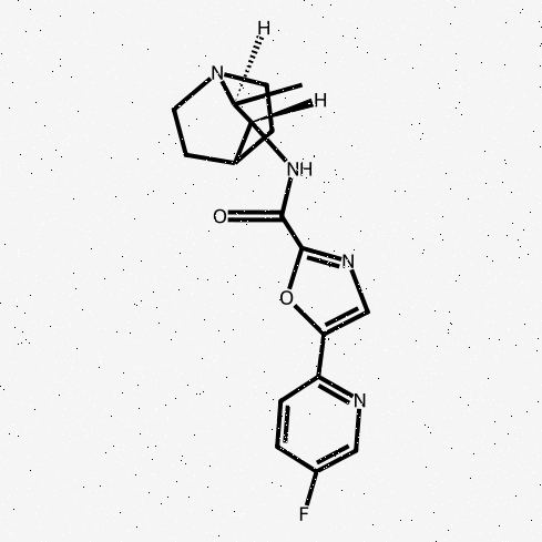 C[C@H]1[C@H](NC(=O)c2ncc(-c3ccc(F)cn3)o2)C2CCN1CC2